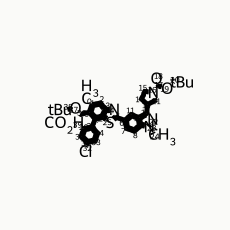 Cc1cc2nc(-c3ccc4c(c3)c(C3CCN(C(=O)OC(C)(C)C)C3)nn4C)sc2c(-c2ccc(Cl)cc2)c1[C@H](OC(C)(C)C)C(=O)O